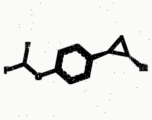 CC[C@H]1C[C@@H]1c1ccc(OC(F)F)cc1